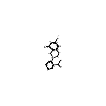 CC(C)c1ccccc1N1CCc2cc(Cl)cc(Cl)c2C1